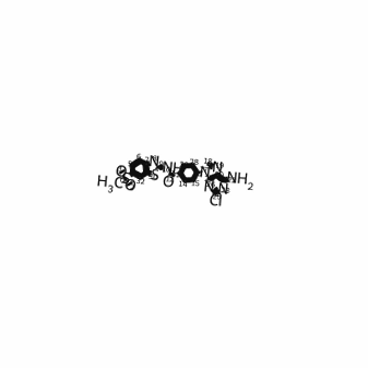 CS(=O)(=O)c1ccc2nc(NC(=O)[C@H]3CC[C@@H](n4cnc5c(N)nc(Cl)nc54)CC3)sc2c1